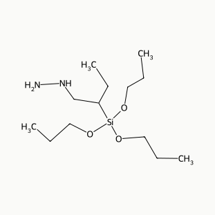 CCCO[Si](OCCC)(OCCC)C(CC)CNN